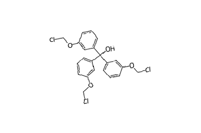 OC(c1cccc(OCCl)c1)(c1cccc(OCCl)c1)c1cccc(OCCl)c1